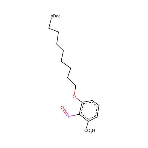 CCCCCCCCCCCCCCCCCCOc1cccc(C(=O)O)c1I=O